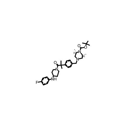 C[C@@H]1CN(Cc2ccc(C(C)(C)C(=O)N3CCC(Nc4ccc(F)cc4)CC3)cc2)C[C@H](C)N1C(=O)OC(C)(C)C